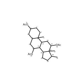 CC(=O)OC1CCC2(C)C(C1)CC(OC(C)=O)C1C2CC(OC(C)=O)C2(C)C(C)CCC12